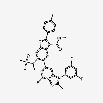 CNC(=O)c1c(-c2ccc(C)cc2)oc2cc(N(C)S(C)(=O)=O)c(-c3cc(F)c4nc(C)n(-c5cc(F)cc(F)c5)c4c3)cc12